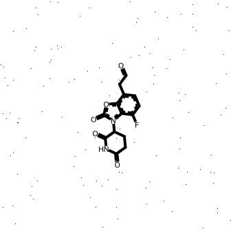 O=CCc1ccc(F)c2c1oc(=O)n2C1CCC(=O)NC1=O